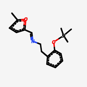 Cc1ccc(C=NCCc2ccccc2O[Si](C)(C)C)o1